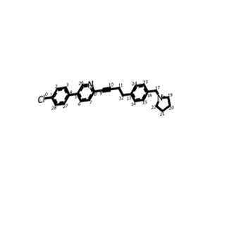 Clc1ccc(-c2ccc(C#CCCc3ccc(CN4CCCC4)cc3)nc2)cc1